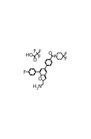 NCC1C=C2C=C(c3ccc(C(=O)N4CCC(F)(F)CC4)cc3)C=C(c3ccc(F)cc3)C2O1.O=C(O)C(F)(F)F